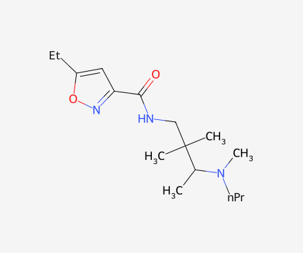 CCCN(C)C(C)C(C)(C)CNC(=O)c1cc(CC)on1